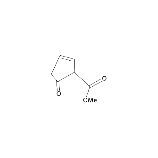 COC(=O)C1C=CCC1=O